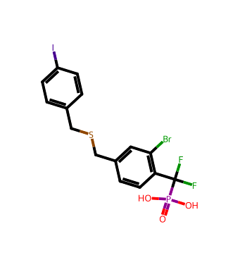 O=P(O)(O)C(F)(F)c1ccc(CSCc2ccc(I)cc2)cc1Br